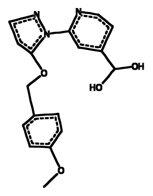 COc1ccc(COc2ccnn2-c2cc(C(O)O)ccn2)cc1